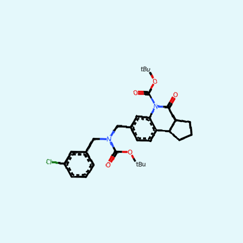 CC(C)(C)OC(=O)N(Cc1cccc(Cl)c1)Cc1ccc2c(c1)N(C(=O)OC(C)(C)C)C(=O)C1CCCC21